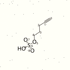 C#CCCCOS(=O)(=O)O